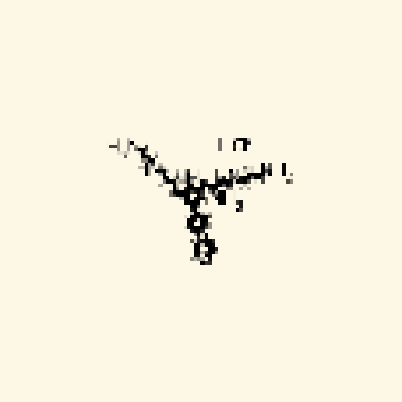 Cl.NCCCNCCC(N)Cc1cc(CC(N)CCNCCCN)cc(-c2ccc(N3CCOCC3)cc2)c1